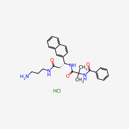 CC(C)(NC(=O)c1ccccc1)C(=O)N[C@H](CC(=O)NCCCN)c1ccc2ccccc2c1.Cl